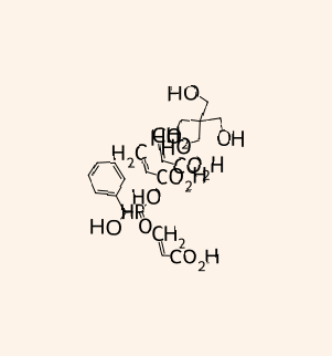 C=CC(=O)O.C=CC(=O)O.C=CC(=O)O.O=[PH](O)C(O)c1ccccc1.OCC(CO)(CO)CO